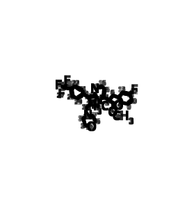 COC(=O)[C@](C)(Cc1cccc(F)c1)c1ccnc2c(-c3ccc(C(F)(F)F)cc3)c(CN3CCOCC3)nn12